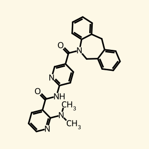 CN(C)c1ncccc1C(=O)Nc1ccc(C(=O)N2Cc3ccccc3Cc3ccccc32)cn1